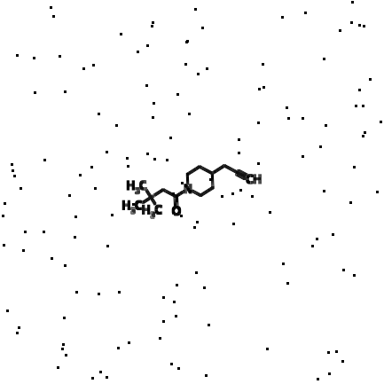 C#CCC1CCN(C(=O)CC(C)(C)C)CC1